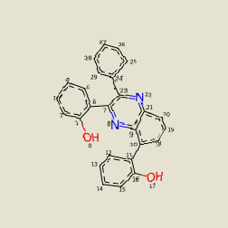 Oc1ccccc1-c1nc2c(-c3ccccc3O)cccc2nc1-c1ccccc1